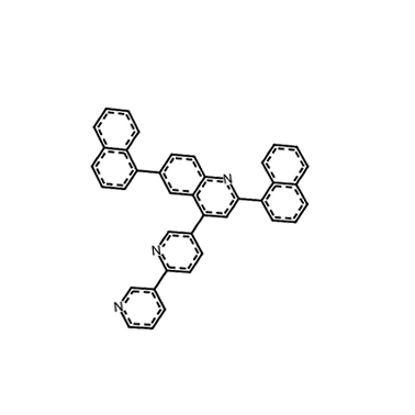 c1cncc(-c2ccc(-c3cc(-c4cccc5ccccc45)nc4ccc(-c5cccc6ccccc56)cc34)cn2)c1